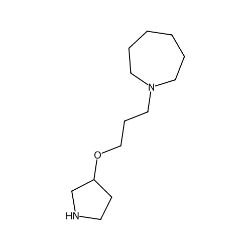 C1CCCN(CCCOC2CCNC2)CC1